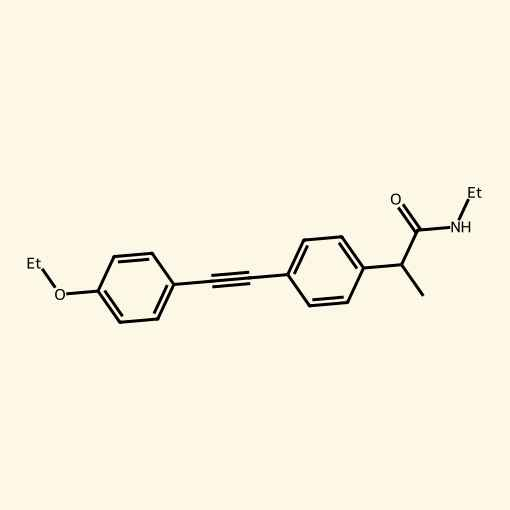 CCNC(=O)C(C)c1ccc(C#Cc2ccc(OCC)cc2)cc1